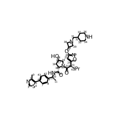 Cc1ncsc1-c1ccc([C@H](C)NC(=O)[C@@H]2C[C@@H](O)CN2C(=O)[C@@H](c2cc(OC3CN(CC4CCNCC4)C3)no2)C(C)C)cc1